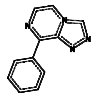 c1ccc(-c2nccn3cnnc23)cc1